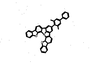 Cc1cc(-c2ccccc2)cc(C)c1-c1cc2c3c(n4c2c(c1)c1ccc2c5ccccc5oc2c14)C1Oc2ccccc2C1C=C3